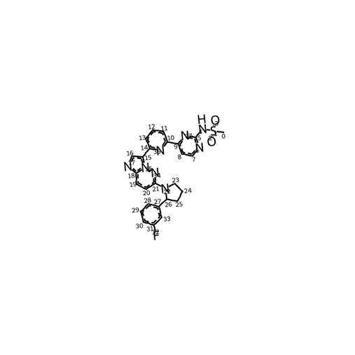 CS(=O)(=O)Nc1nccc(-c2cccc(-c3cnc4ccc(N5CCCC5c5cccc(F)c5)nn34)n2)n1